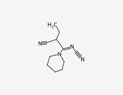 CCC(C#N)/C(=N/C#N)N1CCCCC1